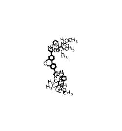 C=C([C@@H](NC(=O)OC)C(C)C)N1[C@@H]2CC[C@@H](C2)[C@H]1c1ncc(-c2ccc3c(c2)COCc2cc(-c4cnc([C@@H]5CCCN5C(=O)[C@@H](NC(=O)OC)C(C)C)[nH]4)ccc2-3)[nH]1